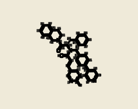 Cc1ncc(C=CC(=O)N(Cc2ccc(-c3ccncc3)cc2)[C@@H](Cc2ccccc2)C(=O)N2CCc3ccccc3C2)cn1